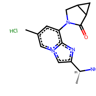 Cc1cc(N2CC3CC3C2=O)c2nc([C@@H](C)N)cn2c1.Cl